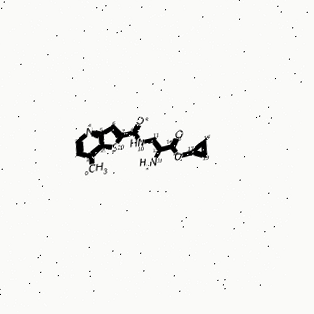 Cc1ccnc2cc(C(=O)NCC(N)C(=O)OC3CC3)sc12